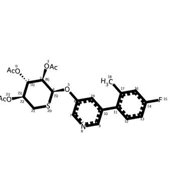 CC(=O)O[C@@H]1[C@@H](OC(C)=O)[C@@H](Oc2cncc(-c3ccc(F)cc3C)c2)SC[C@H]1OC(C)=O